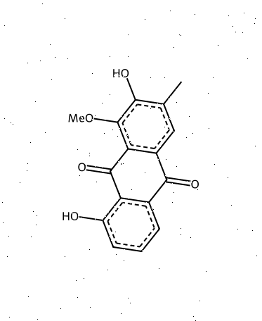 COc1c(O)c(C)cc2c1C(=O)c1c(O)cccc1C2=O